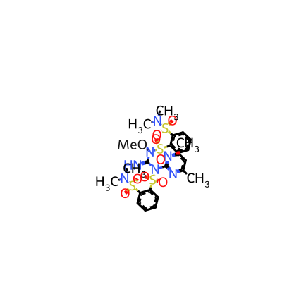 CON(C(=N)N(c1nc(C)cc(C)n1)S(=O)(=O)c1ccccc1S(=O)(=O)N(C)C)S(=O)(=O)c1ccccc1S(=O)(=O)N(C)C